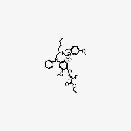 CCCCC1CN(c2ccccc2)c2cc(SC)c(O/C=C(\F)C(=O)OCC)cc2S(=O)(=O)N1Cc1ccc(OC)cc1